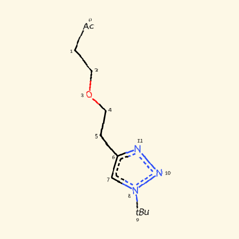 CC(=O)CCOCCc1cn(C(C)(C)C)nn1